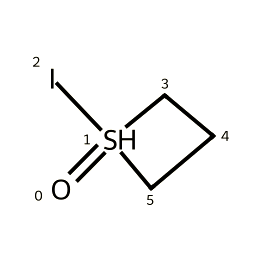 O=[SH]1(I)CCC1